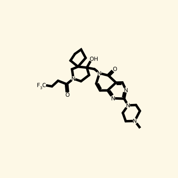 CN1CCN(c2ncc3c(=O)n(CC4(O)CCN(C(=O)CCC(F)(F)F)CC45CCCC5)ccc3n2)CC1